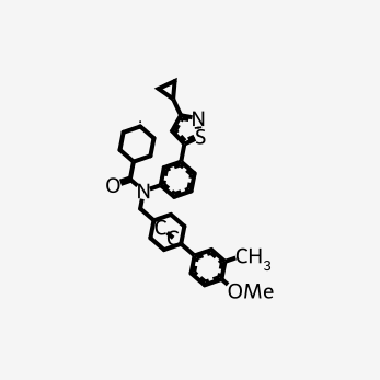 COc1ccc(C23CCC(CN(C(=O)C4CC[CH]CC4)c4cccc(-c5cc(C6CC6)ns5)c4)(CC2)CC3)cc1C